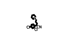 N#CC(CCCN1CCCCC1)c1ccc(Cl)cc1Cl